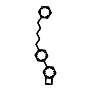 c1ccc(CCCCCc2ccc(-c3ccc4c(c3)CC4)cc2)cc1